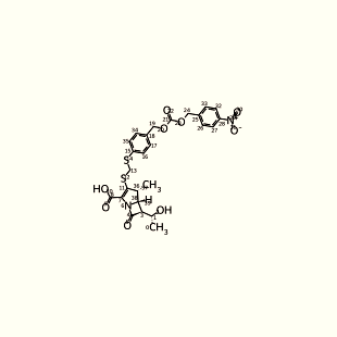 C[C@@H](O)[C@H]1C(=O)N2C(C(=O)O)=C(SCSc3ccc(COC(=O)OCc4ccc([N+](=O)[O-])cc4)cc3)[C@H](C)[C@H]12